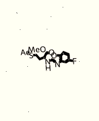 COC(=O)C(CCSC(C)=O)Nc1nc2cc(F)ccc2o1